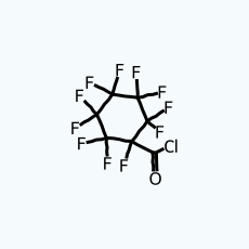 O=C(Cl)C1(F)C(F)(F)C(F)(F)C(F)(F)C(F)(F)C1(F)F